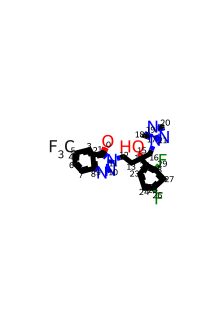 O=c1c2cc(C(F)(F)F)ccc2nnn1CCC(O)(Cn1cncn1)c1ccc(F)cc1F